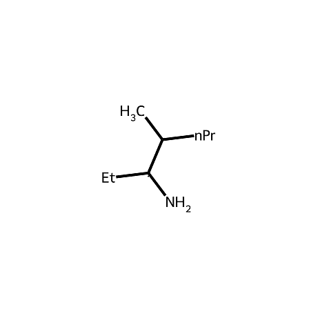 CCCC(C)[C](N)CC